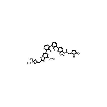 COc1nc(-c2cccc(-c3ccnc(-c4cc(OC)c5nc(CN6CC(C)(O)C6)nn5c4)c3Cl)c2Cl)ccc1CNCC1CCC(=O)N1